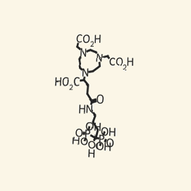 O=C(O)CN1CCN(CC(=O)O)CCN(C(CCC(=O)NCCCC(O)(P(=O)(O)O)P(=O)(O)O)C(=O)O)CC1